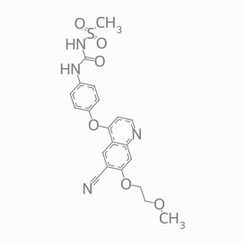 COCCOc1cc2nccc(Oc3ccc(NC(=O)NS(C)(=O)=O)cc3)c2cc1C#N